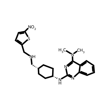 CN(C)c1nc(N[C@H]2CC[C@@H](CNCc3ccc([N+](=O)[O-])s3)CC2)nc2ccccc12